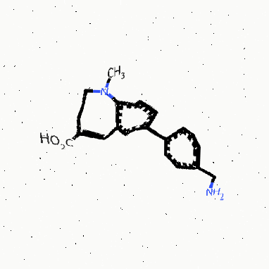 CN1CCC(C(=O)O)=Cc2cc(-c3ccc(CN)cc3)ccc21